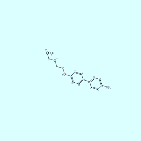 CCc1ccc(-c2ccc(OCCOCC(=O)O)cc2)cc1